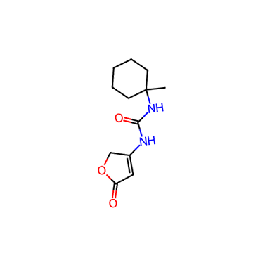 CC1(NC(=O)NC2=CC(=O)OC2)CCCCC1